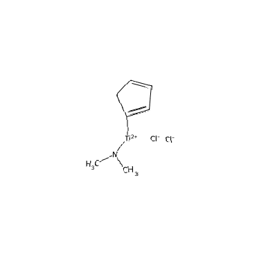 C[N](C)[Ti+2][C]1=CC=CC1.[Cl-].[Cl-]